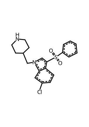 O=S(=O)(c1ccccc1)c1cn(CC2CCNCC2)c2cc(Cl)ccc12